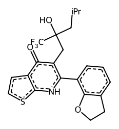 CC(C)CC(O)(Cc1c(-c2cccc3c2OCC3)[nH]c2sccc2c1=O)C(F)(F)F